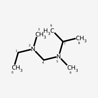 CCN(C)CN(C)C(C)C